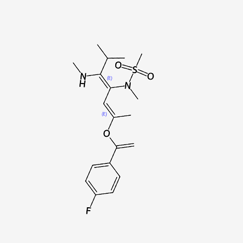 C=C(O/C(C)=C/C(=C(\NC)C(C)C)N(C)S(C)(=O)=O)c1ccc(F)cc1